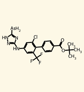 CC(C)(C)OC(=O)c1ccc(-c2c(Cl)cc(Nc3n[nH]c([AsH2])n3)cc2C(F)(F)F)cc1